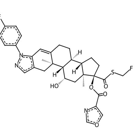 C[C@]12Cc3cnn(-c4ccc(F)cc4)c3C=C1CC[C@@H]1[C@@H]2[C@@H](O)C[C@@]2(C)[C@H]1CC[C@]2(OC(=O)c1cocn1)C(=O)SCF